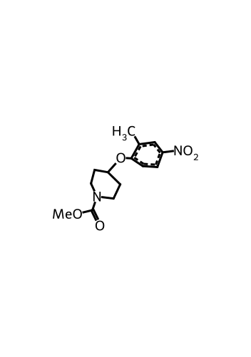 COC(=O)N1CCC(Oc2ccc([N+](=O)[O-])cc2C)CC1